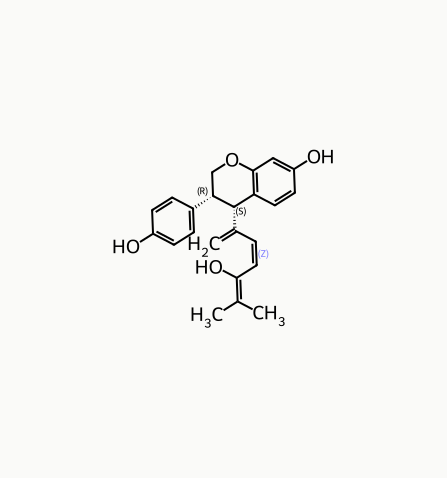 C=C(/C=C\C(O)=C(C)C)[C@H]1c2ccc(O)cc2OC[C@H]1c1ccc(O)cc1